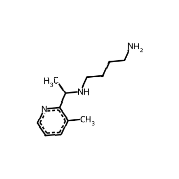 Cc1cccnc1C(C)NCCCCN